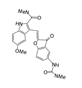 CNC(=O)Nc1ccc2c(c1)C(=O)C(=Cc1c(C(=O)NC)[nH]c3ccc(OC)cc13)O2